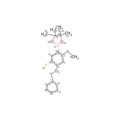 CCc1cc(OCc2ccccc2)c(F)cc1B1OC(C)(C)C(C)(C)O1